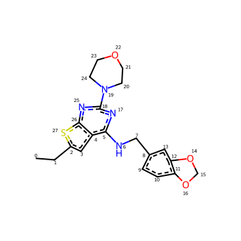 CCc1cc2c(NCc3ccc4c(c3)OCO4)nc(N3CCOCC3)nc2s1